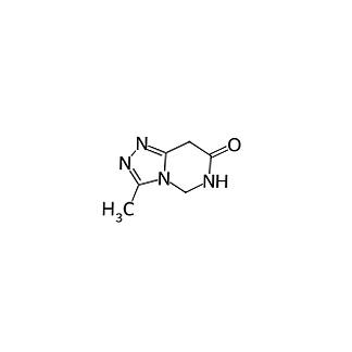 Cc1nnc2n1CNC(=O)C2